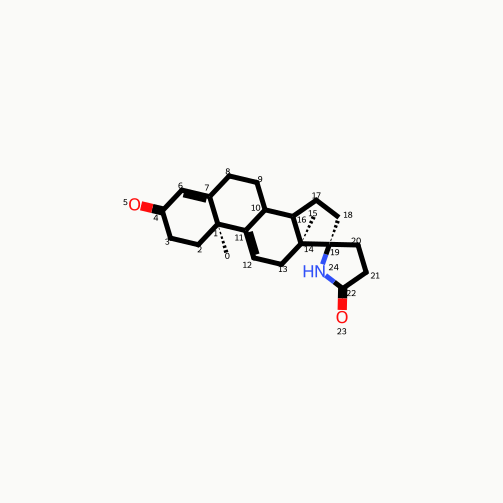 C[C@]12CCC(=O)C=C1CCC1C2=CC[C@@]2(C)C1CC[C@@]21CCC(=O)N1